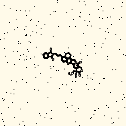 CCC1(O)C(=O)OCc2c1cc1n(c2=O)Cc2c-1nc1ccc(C=CCN3C(=O)c4ccccc4C3=O)c3c1c2CCC3